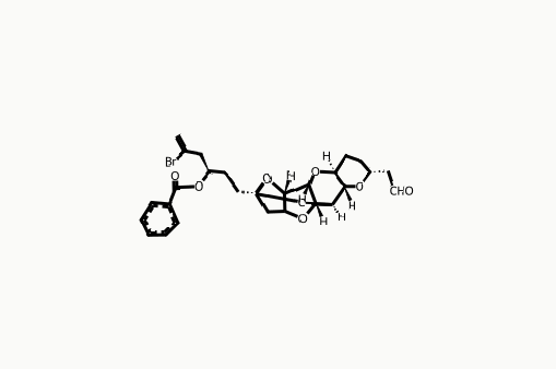 C=C(Br)C[C@@H](CC[C@@]12CC3O[C@H]4[C@@H](C1)[C@H]1O[C@@H](CC=O)CC[C@@H]1O[C@H]4[C@H]3O2)OC(=O)c1ccccc1